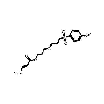 CC=CC(=O)OCCCOCCCS(=O)(=O)c1ccc(O)cc1